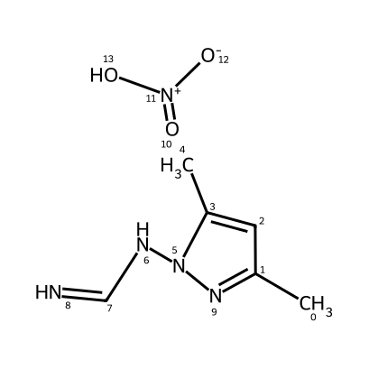 Cc1cc(C)n(NC=N)n1.O=[N+]([O-])O